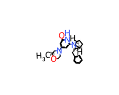 C[C@@H]1CN(c2cc(N3[C@@H]4CC[C@@H](C4)[C@H]3Cc3ccccc3)[nH]c(=O)c2)CCO1